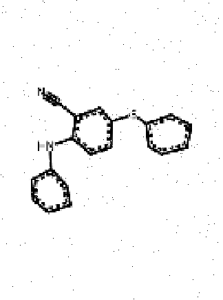 N#Cc1cc(Sc2ccccc2)ccc1Nc1ccccc1